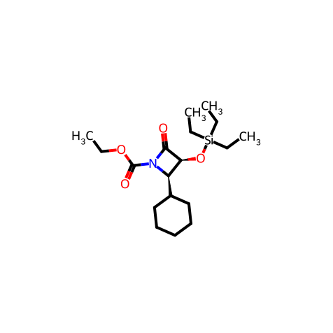 CCOC(=O)N1C(=O)[C@@H](O[Si](CC)(CC)CC)[C@H]1C1CCCCC1